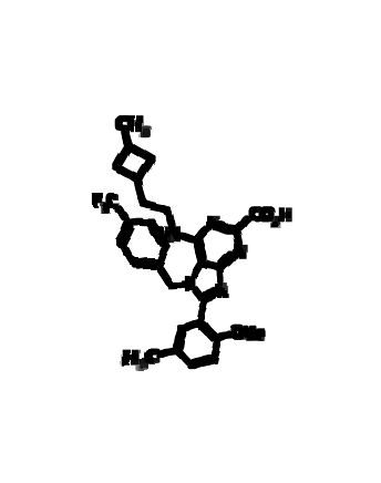 COc1ccc(C)cc1-c1nc2nc(C(=O)O)nc(NCCC3CC(C)C3)c2n1Cc1ccc(C(F)(F)F)cc1